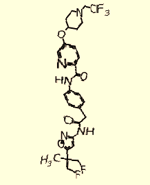 CC(CF)(CF)c1cc(NC(=O)Cc2ccc(NC(=O)c3ccc(OC4CCN(CC(F)(F)F)CC4)cn3)cc2)no1